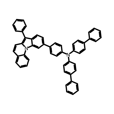 c1ccc(-c2ccc(N(c3ccc(-c4ccccc4)cc3)c3ccc(-c4ccc5c(-c6ccccc6)c6ccc7ccccc7n6c5c4)cc3)cc2)cc1